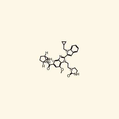 COc1cc(C(=O)N2C[C@H]3CC[C@@H]2[C@@H]3N)cc2nc(-c3cc4ccccc4n3CC3CC3)n(CCN3CCNC3=O)c12